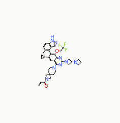 C=CC(=O)N1CC2(CCN(c3nc(N4CC(N5CCC5)C4)nc4c(OCC(F)(F)F)c(-c5c(C)ccc6[nH]ncc56)c(C5CC5)cc34)CC2)C1